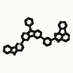 c1ccc(-n2c3ccc(-c4cccc(-c5nc6c7c(cccc7n5)-c5ccccc5-6)c4)cc3c3cc(-c4ccc5sc6ccccc6c5c4)ccc32)cc1